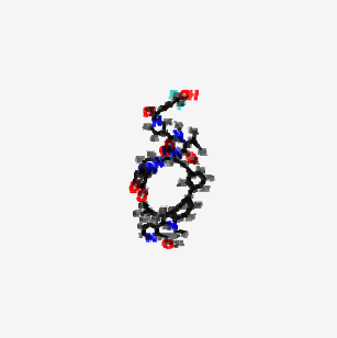 CCn1c(-c2cccnc2[C@H](C)OC)c2c3cc(ccc31)-c1cccc(c1)C[C@H](NC(=O)[C@H](C(C)C)N(C)C(=O)C1CCN(C(=O)C#CC(O)(F)F)C1)C(=O)N1CCC[C@H](N1)C(=O)OCC(C)(C)C2